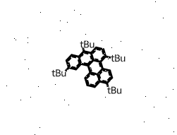 CC(C)(C)c1ccc2c(C(C)(C)C)c3ccc(C(C)(C)C)c4c5ccc(C(C)(C)C)c6cccc(c65)c(c2c1)c34